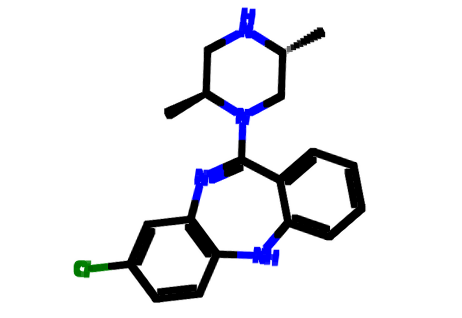 C[C@@H]1CN(C2=Nc3cc(Cl)ccc3Nc3ccccc32)[C@@H](C)CN1